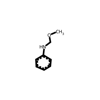 COCNc1ccccc1